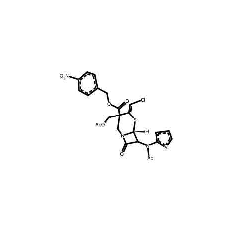 CC(=O)OCC1(C(=O)OCc2ccc([N+](=O)[O-])cc2)CN2C(=O)C(N(C(C)=O)c3cccs3)[C@H]2SC1=CCl